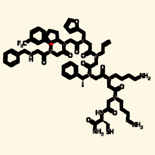 C=CCN(CC(=O)N(CC(=O)N(CCCCN)CC(=O)N(CCCCN)CC(=O)N[C@H](CS)C(N)=O)[C@H](C)c1ccccc1)C(=O)CN(Cc1ccco1)C(=O)CN(C(=O)CN(Cc1cccc(C(F)(F)F)c1)C(=O)CNCc1ccccc1)C1CCCC1